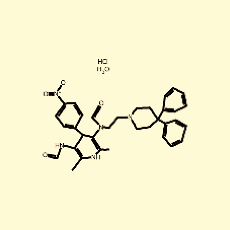 CC1=C(NC=O)C(c2ccc([N+](=O)[O-])cc2)C(N(C=O)CCN2CCC(c3ccccc3)(c3ccccc3)CC2)=C(C)N1.Cl.O